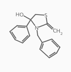 C=C1SCC(O)(c2ccccc2)N1Cc1ccccc1